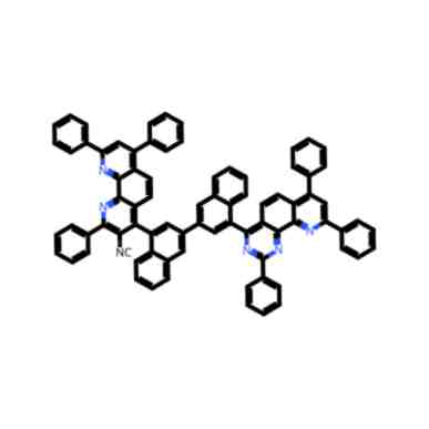 [C-]#[N+]c1c(-c2ccccc2)nc2c(ccc3c(-c4ccccc4)cc(-c4ccccc4)nc32)c1-c1cc(-c2cc(-c3nc(-c4ccccc4)nc4c3ccc3c(-c5ccccc5)cc(-c5ccccc5)nc34)c3ccccc3c2)cc2ccccc12